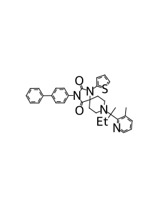 CCC(C)(c1ncccc1C)N1CCC2(CC1)C(=O)N(c1ccc(-c3ccccc3)cc1)C(=O)N2c1cccs1